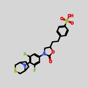 O=C1OC(CCc2ccc(S(=O)(=O)O)cc2)CN1c1cc(F)c(N2C3CCC2CSC3)c(F)c1